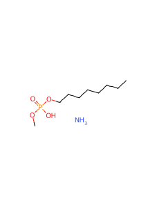 CCCCCCCCOP(=O)(O)OC.N